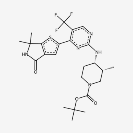 C[C@@H]1CN(C(=O)OC(C)(C)C)CC[C@@H]1Nc1ncc(C(F)(F)F)c(-c2cc3c(s2)C(C)(C)NC3=O)n1